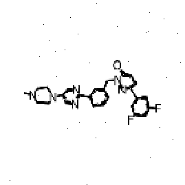 CN1CCN(c2cnc(-c3cccc(Cn4nc(-c5cc(F)cc(F)c5)ccc4=O)c3)nc2)CC1